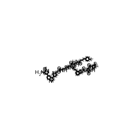 COc1ncc(-c2ccc3nccc(-c4ccc(COC(=O)NCCSSCC(NC(=O)CCc5cccc6c5CN(C(=O)C[C@@H]5C[C@@H](C(=O)N7CC(F)(F)C[C@H]7C)NC5=O)C6)C(=O)NCCNC(=O)CCCc5ccc(I)cc5)nc4)c3c2)cc1N